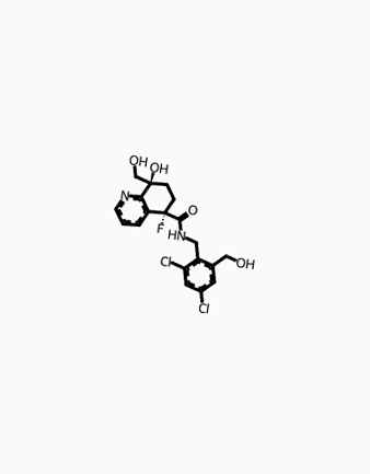 O=C(NCc1c(Cl)cc(Cl)cc1CO)[C@]1(F)CC[C@@](O)(CO)c2ncccc21